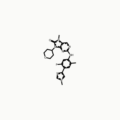 Cc1cc(-c2cn(C)cn2)c(F)cc1Nc1ncc2c(n1)n(C1CCOCC1)c(=O)n2C